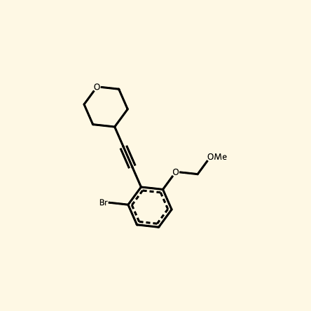 COCOc1cccc(Br)c1C#CC1CCOCC1